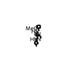 COc1ccccc1CNc1ncc2c(Nc3ccc(C)cc3)nccc2n1